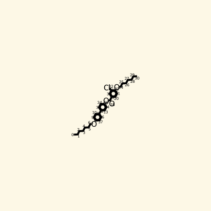 CCCCCCCOc1ccc(-c2ccc(OC(=O)c3ccc(OCCCCCCC)c(Cl)c3)cc2)cc1